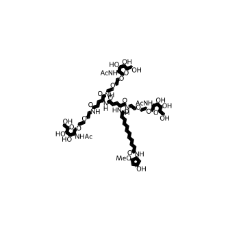 CO[C@H]1C[C@H](O)C[C@@H]1NC(=O)CCCCCCCCCCC(=O)NC(CCC(=O)NC(CCC(=O)NCCOCCOC1OC(CO)C(O)C(O)C1NC(C)=O)C(=O)NCCOCCOC1OC(CO)C(O)C(O)C1NC(C)=O)C(=O)NCCOCCOC1OC(CO)C(O)C(O)C1NC(C)=O